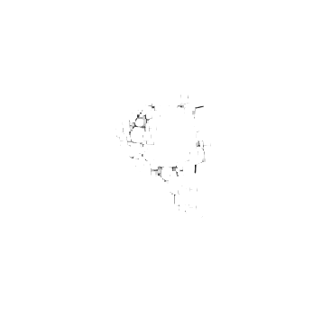 C=C1C[C@@H]2CC[C@@]34C[C@@]5(C)O[C@H]6[C@@H](O3)[C@H]3OC(CC[C@@H]3O[C@H]6[C@H]5O4)CC(=O)C[C@@H]3[C@@H](C)[C@@H](C[C@H](O)CN)O[C@H]3CC3O[C@H](CCC1O2)C[C@@H](C)C3=C